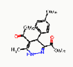 COC(=O)C1=NNC(C)=C(C(=O)OC)C1c1ccc(OC)cc1